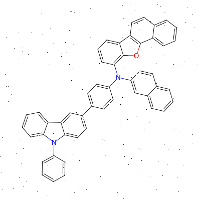 c1ccc(-n2c3ccccc3c3cc(-c4ccc(N(c5ccc6ccccc6c5)c5cccc6c5oc5c7ccccc7ccc65)cc4)ccc32)cc1